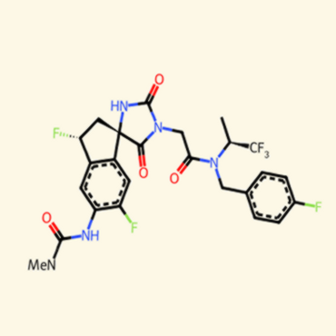 CNC(=O)Nc1cc2c(cc1F)[C@]1(C[C@H]2F)NC(=O)N(CC(=O)N(Cc2ccc(F)cc2)[C@@H](C)C(F)(F)F)C1=O